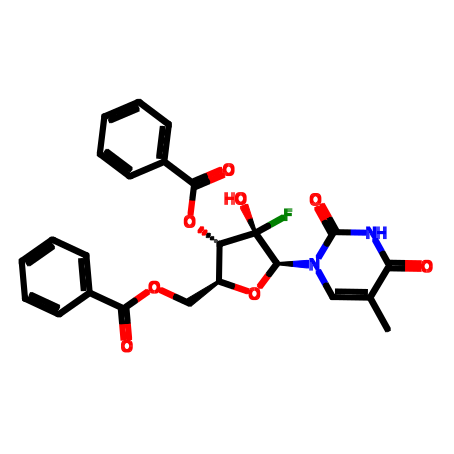 Cc1cn([C@H]2O[C@@H](COC(=O)c3ccccc3)[C@H](OC(=O)c3ccccc3)[C@]2(O)F)c(=O)[nH]c1=O